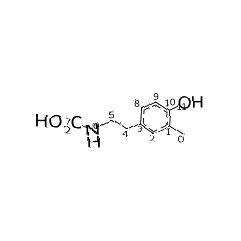 Cc1cc(CCNC(=O)O)ccc1O